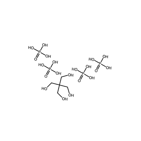 O=P(O)(O)O.O=P(O)(O)O.O=P(O)(O)O.O=P(O)(O)O.OCC(CO)(CO)CO